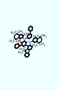 Cc1cc2c(cc1N1c3cc(-c4ccccc4)ccc3B3c4c(cc5c(oc6ccccc65)c41)-c1c(ccc4c1C(C)(C)c1ccccc1-4)N3c1ccc3c(c1)C(C)(C)CCC3(C)C)C(C)(C)CCC2(C)C